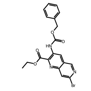 CCOC(=O)c1nc2cc(Br)ncc2cc1NC(=O)OCc1ccccc1